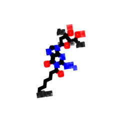 CCCCCCCCCCCCCCCC(=O)n1c(N)nc2c(ncn2[C@H]2C[C@@](O)(C(C)=O)[C@@H](C(O)C(C)=O)O2)c1=O